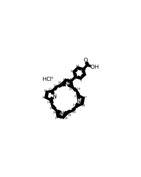 Cl.O=C(O)c1ccc(-c2cc3cc4nc(cc5ccc(cc6nc(cc2[nH]3)C=C6)[nH]5)C=C4)cc1